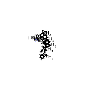 COc1ccccc1N1CCN(C(=O)C2(C)CC[C@]3(C)CC[C@]4(C)C(=CCC5[C@@]6(C)C(OC(=O)/C=C\C(=O)O)CCC(C)(C)[C@H]6CC[C@]54C)[C@@H]3C2)CC1